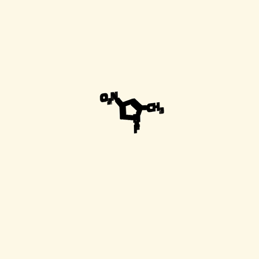 Cc1cc([N+](=O)[O-])cn1F